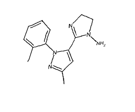 Cc1cc(C2=NCCN2N)n(-c2ccccc2C)n1